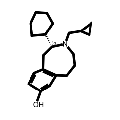 Oc1ccc2c(c1)CCCN(CC1CC1)[C@@H](C1CCCCC1)C2